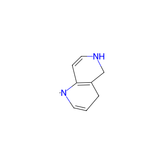 C1=C[N]C2=C(C1)CNC=C2